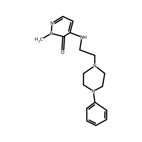 Cn1nccc(NCCN2CCN(c3ccccc3)CC2)c1=O